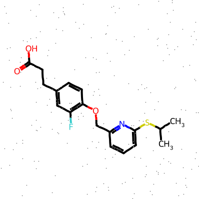 CC(C)Sc1cccc(COc2ccc(CCC(=O)O)cc2F)n1